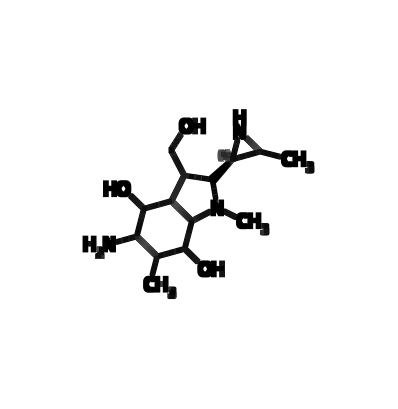 CC1C(N)C(O)C2C(CO)C([C@H]3NC3C)N(C)C2C1O